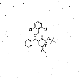 CCOC(=O)CC(NC(=O)OC(C)(C)C)C(OCc1c(Cl)cccc1Cl)c1ccccc1